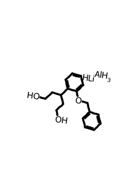 OCCC(CCO)c1ccccc1OCc1ccccc1.[AlH3].[LiH]